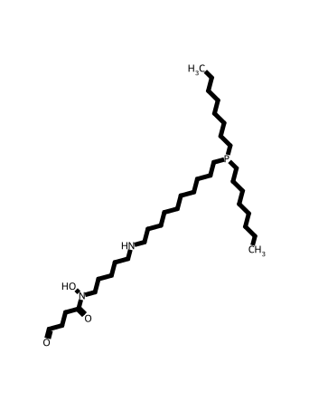 CCCCCCCCP(CCCCCCCC)CCCCCCCCCCNCCCCCN(O)C(=O)CCC=O